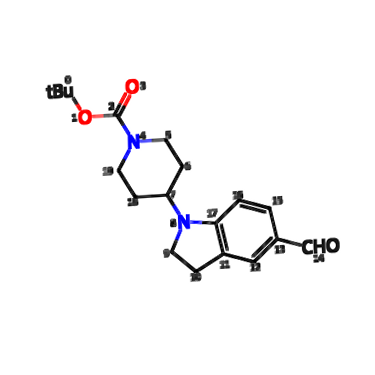 CC(C)(C)OC(=O)N1CCC(N2CCc3cc(C=O)ccc32)CC1